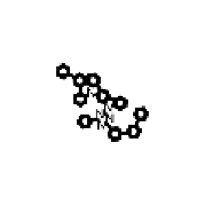 c1ccc(-c2cccc(-c3cccc(-c4nc(-c5ccccc5)nc(-n5c6ccccc6c6cc7c8ccccc8n(-c8ccccc8-c8cccc(-c9ccccc9)c8)c7cc65)n4)c3)c2)cc1